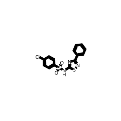 O=S(=O)(Nc1nc(-c2ccccc2)ns1)c1ccc(Cl)cc1